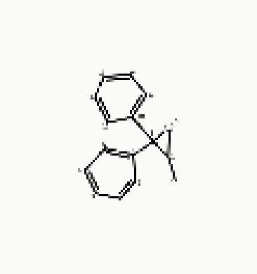 CC1OC1(c1ccccc1)c1ccccc1